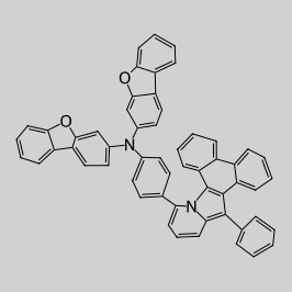 c1ccc(-c2c3c4ccccc4c4ccccc4c3n3c(-c4ccc(N(c5ccc6c(c5)oc5ccccc56)c5ccc6c(c5)oc5ccccc56)cc4)cccc23)cc1